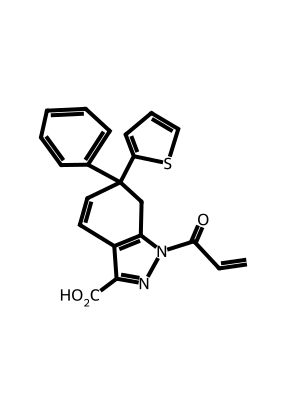 C=CC(=O)n1nc(C(=O)O)c2c1CC(c1ccccc1)(c1cccs1)C=C2